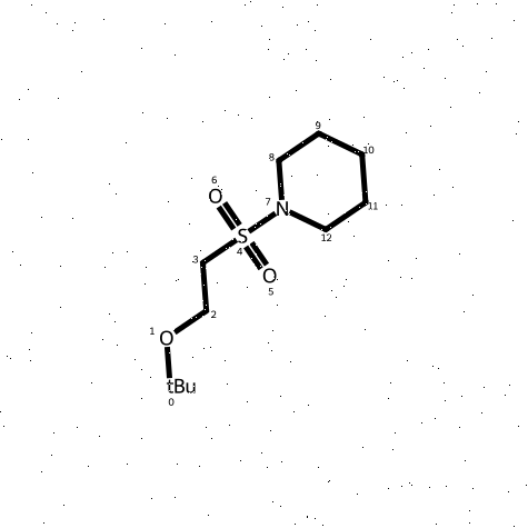 CC(C)(C)OCCS(=O)(=O)N1CCCCC1